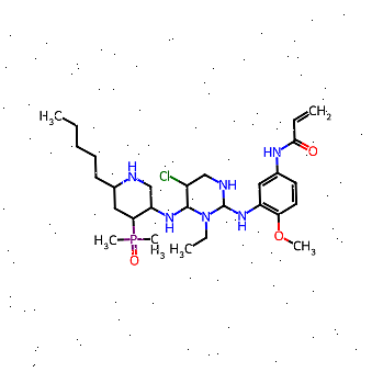 C=CC(=O)Nc1ccc(OC)c(NC2NCC(Cl)C(NC3CNC(CCCCC)CC3P(C)(C)=O)N2CC)c1